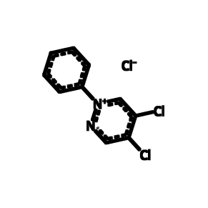 Clc1cn[n+](-c2ccccc2)cc1Cl.[Cl-]